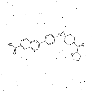 O=C(O)c1ccc2cc(-c3ccc([C@@H]4CC45CCN(C(=O)C4CCCO4)CC5)cc3)cnc2c1